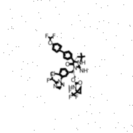 CC(C)(C)C[C@]1(c2ccc(-c3ccc(OC(F)F)cc3)cc2)NC(=N)N([C@H](COC(=O)NC2(C(F)(F)F)CC2)c2ccc(Cl)c(-n3ncnc3C(F)F)c2)C1=O